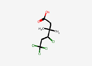 CC(C)(CC(=O)O)C(Cl)CC(Cl)(Cl)Cl